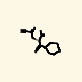 CN[C@@H](CC(=O)O)C(=O)N1CCOCC1